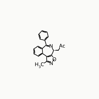 CC(=O)C[C@@H]1N=C(c2ccccc2)c2ccccc2-c2c(C)noc21